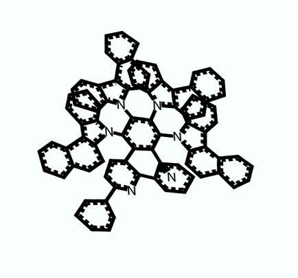 N#Cc1c(-c2ccc(-c3ccccc3)nc2-c2ccccc2)c(-n2c3ccccc3c3c4ccccc4ccc32)c(-n2c3ccccc3c3c4ccccc4ccc32)c(-n2c3ccccc3c3c4ccccc4ccc32)c1-n1c2ccccc2c2c3ccccc3ccc21